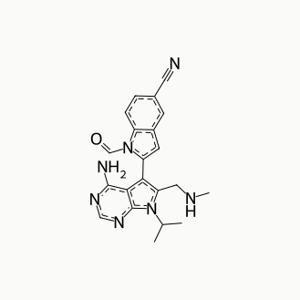 CNCc1c(-c2cc3cc(C#N)ccc3n2C=O)c2c(N)ncnc2n1C(C)C